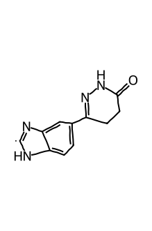 O=C1CCC(c2ccc3[nH][c]nc3c2)=NN1